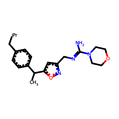 CC(C)Cc1ccc(C(C)c2cc(C/N=C(\N)N3CCOCC3)no2)cc1